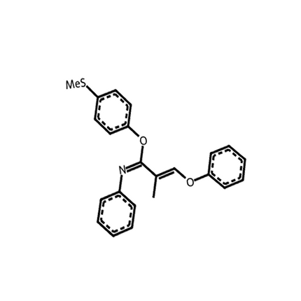 CSc1ccc(OC(=Nc2ccccc2)C(C)=COc2ccccc2)cc1